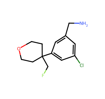 NCc1cc(Cl)cc(C2(CF)CCOCC2)c1